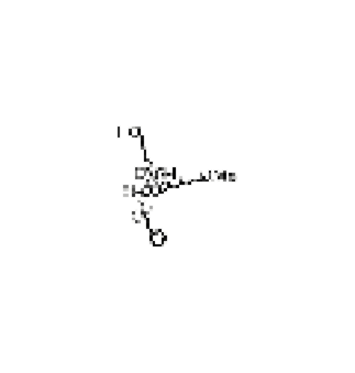 CCC(COCC(=O)CCCCCOC)(COC(=O)/C=C/c1ccccc1)COC(C)C(=O)CCCCCO